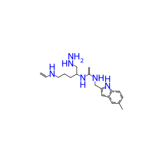 C=CNCCCC(CNN)NC(=C)NCc1cc2cc(C)ccc2[nH]1